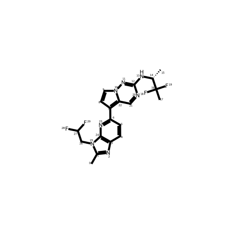 Cc1nc2ccc(-c3ccn4nc(N[C@H](C)C(C)(F)F)ncc34)nc2n1CC(F)F